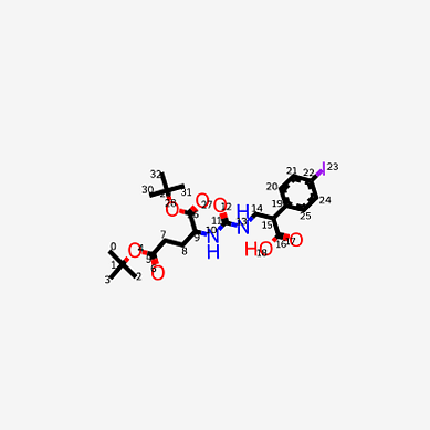 CC(C)(C)OC(=O)CCC(NC(=O)NCC(C(=O)O)c1ccc(I)cc1)C(=O)OC(C)(C)C